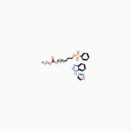 CCCCOS(=O)(=O)c1ccccc1.COC(=O)OC.c1ccc2[nH]nnc2c1.c1conn1